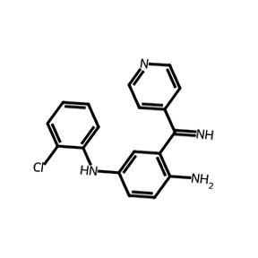 N=C(c1ccncc1)c1cc(Nc2ccccc2Cl)ccc1N